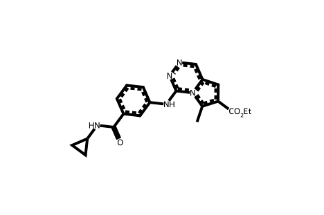 CCOC(=O)c1cc2cnnc(Nc3cccc(C(=O)NC4CC4)c3)n2c1C